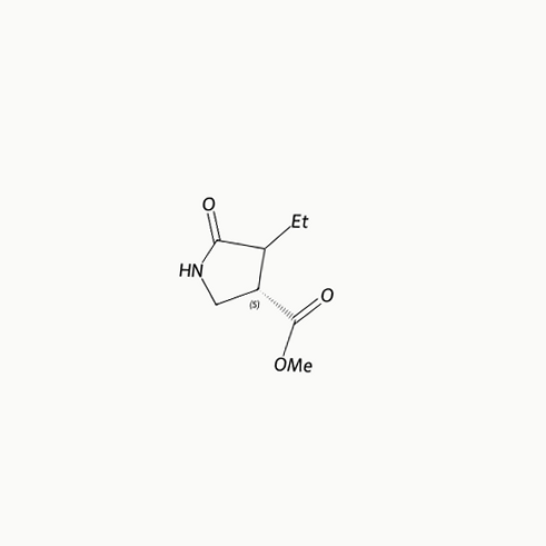 CCC1C(=O)NC[C@H]1C(=O)OC